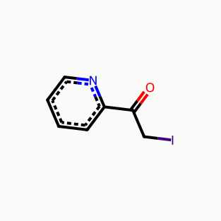 O=C(CI)c1ccccn1